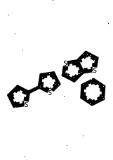 c1cc2sccc2s1.c1ccccc1.c1csc(-c2cccs2)c1